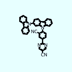 N#Cc1cnc(-c2ccc(-n3c4ccccc4c4ccc(-n5c6ccccc6c6ccccc65)cc43)c(C#N)c2)nc1